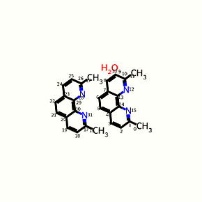 Cc1ccc2ccc3ccc(C)nc3c2n1.Cc1ccc2ccc3ccc(C)nc3c2n1.O